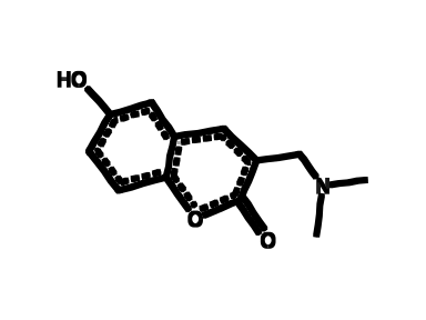 CN(C)Cc1cc2cc(O)ccc2oc1=O